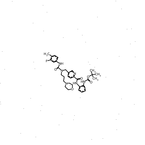 Cc1ccc(NC(=O)N(CCCN2CCOCC2)Cc2ccc(C(=O)Nc3ccccc3NC(=O)OC(C)(C)C)nc2)cc1F